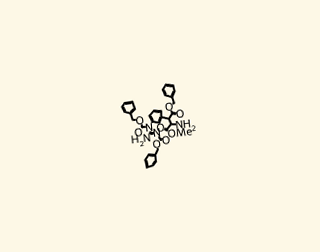 COC(=O)C(N)C(C(=O)OCc1ccccc1)c1cccc(N(C(=O)OCc2ccccc2)C(N)=NC(=O)OCc2ccccc2)c1